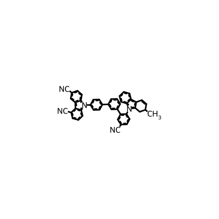 CC1C=Cc2c(n(-c3ccc(C#N)cc3-c3cccc(-c4ccc(-n5c6ccc(C#N)cc6c6c(C#N)cccc65)cc4)c3)c3ccccc23)C1